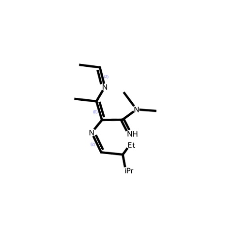 C\C=N/C(C)=C(/N=C\C(CC)C(C)C)C(=N)N(C)C